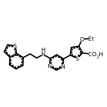 CCOc1cc(-c2cc(NCCc3cccc4ccsc34)ncn2)sc1C(=O)O